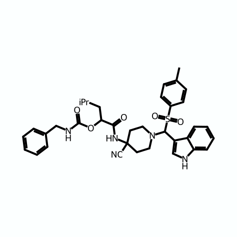 Cc1ccc(S(=O)(=O)C(c2c[nH]c3ccccc23)N2CCC(C#N)(NC(=O)C(CC(C)C)OC(=O)NCc3ccccc3)CC2)cc1